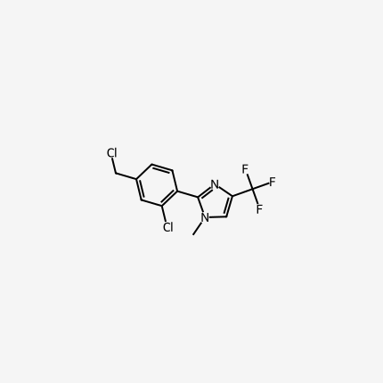 Cn1cc(C(F)(F)F)nc1-c1ccc(CCl)cc1Cl